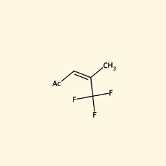 CC(=O)C=C(C)C(F)(F)F